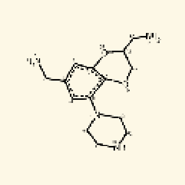 NCc1cc2c(c(N3CCNCC3)c1)OCC(CN)O2